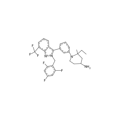 CCC1(C)CC(N)CCN1c1cccc(-c2c3cccc(C(F)(F)F)c3nn2Cc2c(F)cc(F)cc2F)c1